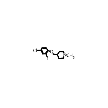 CN1CCC(COc2ccc(Cl)cc2I)CC1